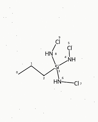 CCC[Si](NCl)(NCl)NCl